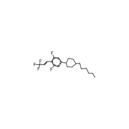 CCCCCCC1CCC(c2cc(F)c(/C=C/C(F)(F)F)c(F)c2)CC1